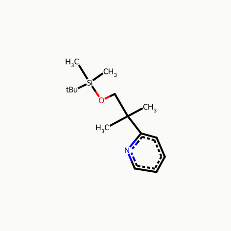 CC(C)(CO[Si](C)(C)C(C)(C)C)c1ccccn1